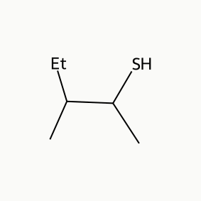 CCC(C)C(C)S